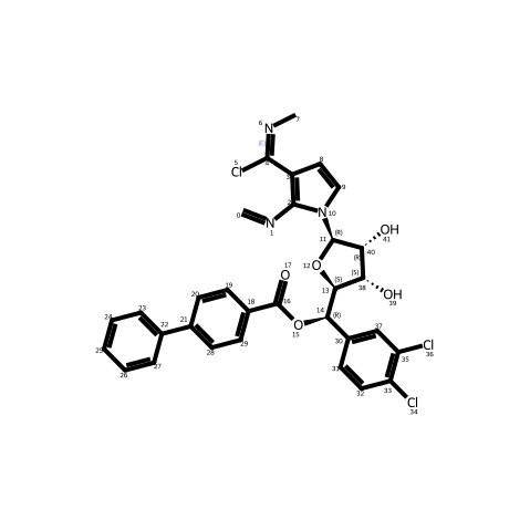 C=Nc1c(/C(Cl)=N\C)ccn1[C@@H]1O[C@H]([C@H](OC(=O)c2ccc(-c3ccccc3)cc2)c2ccc(Cl)c(Cl)c2)[C@@H](O)[C@H]1O